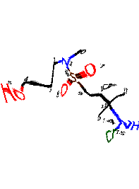 CN(CCCO)S(=O)(=O)CCC(C)(C)NCl